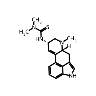 CN(C)C(=S)N[C@H]1C=C2c3cccc4[nH]cc(c34)C[C@H]2N(C)C1